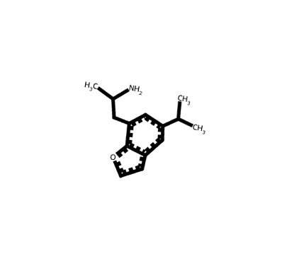 CC(N)Cc1cc(C(C)C)cc2ccoc12